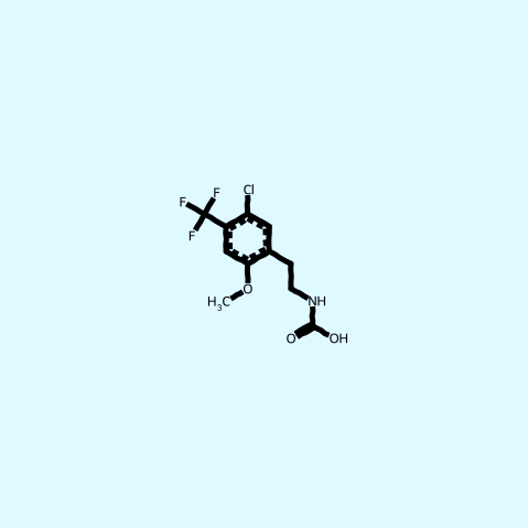 COc1cc(C(F)(F)F)c(Cl)cc1CCNC(=O)O